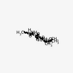 CCCCCNC(=O)C(N)CSC1CC(=O)N(CCC(=O)NCCC(C)(C)OCCC(C)(C)C)C1=O